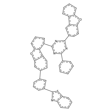 c1ccc(-c2nc(-c3ccc4oc5ccccc5c4c3)nc(-c3cccc4oc5cc(-c6cccc(-c7nc8ccccc8s7)c6)ccc5c34)n2)cc1